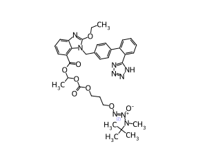 CCOc1nc2cccc(C(=O)OC(C)OC(=O)OCCCO/N=[N+](\[O-])N(C)C(C)(C)C)c2n1Cc1ccc(-c2ccccc2-c2nnn[nH]2)cc1